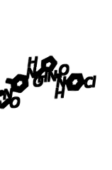 Cc1cc(NC(=O)C2CCCC2NC(=O)Nc2ccc(Cl)cc2)ccc1N1CCOCC1=O